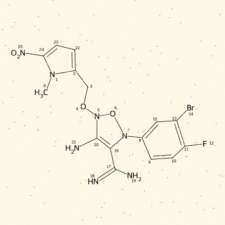 Cn1c(CON2ON(c3ccc(F)c(Br)c3)C(C(=N)N)=C2N)ccc1[N+](=O)[O-]